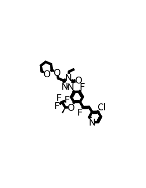 CCn1c(COC2CCCCO2)nn(-c2cc(O[C@@H](C)C(F)(F)F)c(/C(F)=C/c3cnccc3Cl)cc2F)c1=O